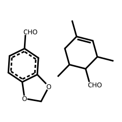 CC1=CC(C)C(C=O)C(C)C1.O=Cc1ccc2c(c1)OCO2